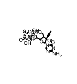 CC#CC1(O)C(CO)[C@@H]([C@@H](C)OP(=O)(O)OP(=O)(O)OP(=O)(O)O)O[C@H]1n1cnc(N)nc1=O